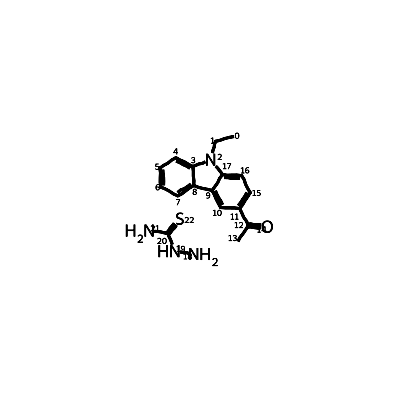 CCn1c2ccccc2c2cc(C(C)=O)ccc21.NNC(N)=S